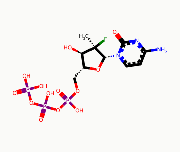 C[C@@]1(F)[C@H](O)[C@@H](COP(=O)(O)OP(=O)(O)OP(=O)(O)O)O[C@H]1n1ccc(N)nc1=O